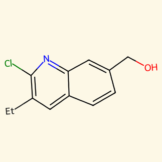 CCc1cc2ccc(CO)cc2nc1Cl